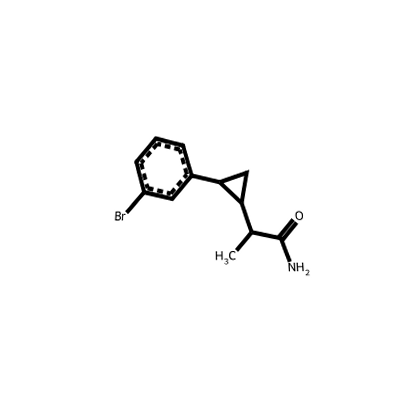 CC(C(N)=O)C1CC1c1cccc(Br)c1